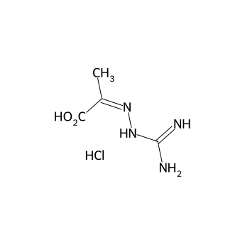 C/C(=N/NC(=N)N)C(=O)O.Cl